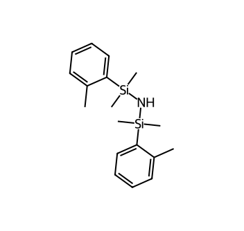 Cc1ccccc1[Si](C)(C)N[Si](C)(C)c1ccccc1C